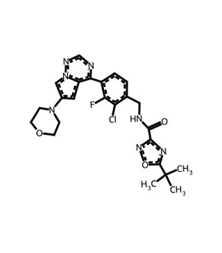 CC(C)(C)c1nc(C(=O)NCc2ccc(-c3ncnn4cc(N5CCOCC5)cc34)c(F)c2Cl)no1